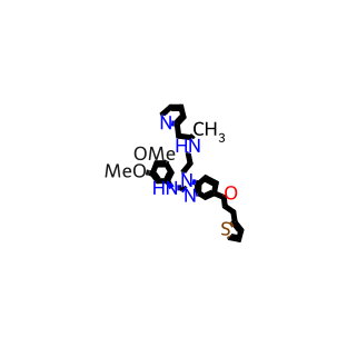 COc1cc(Nc2nc3cc(C(=O)CCc4cccs4)ccc3n2CCCNC(C)Cc2ccccn2)cc(OC)c1